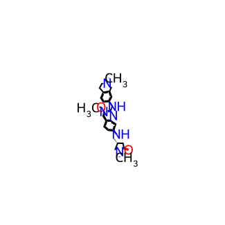 COc1cc2c(cc1Nc1ncc3ccc(NC[C@@H]4CC(=O)N(C)C4)cc3n1)CN(C)CC2